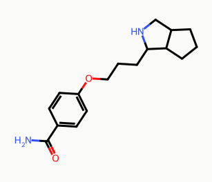 NC(=O)c1ccc(OCCCC2NCC3CCCC32)cc1